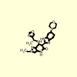 CCn1cc2[nH]c(=O)c(-c3nc4ccc(N5CCOCC5)cc4[nH]3)c(N[C@H](C)c3cocn3)c2n1